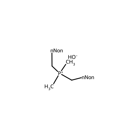 CCCCCCCCCC[P+](C)(C)CCCCCCCCCC.[OH-]